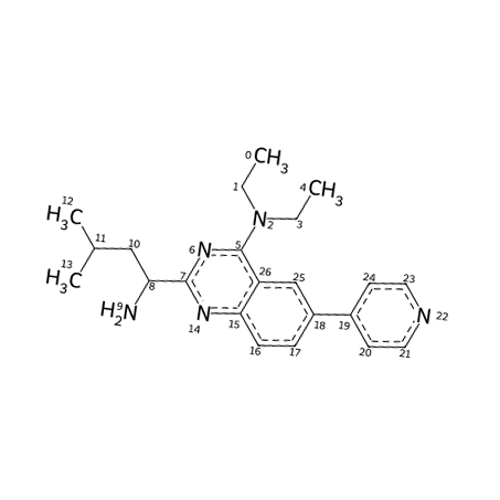 CCN(CC)c1nc(C(N)CC(C)C)nc2ccc(-c3ccncc3)cc12